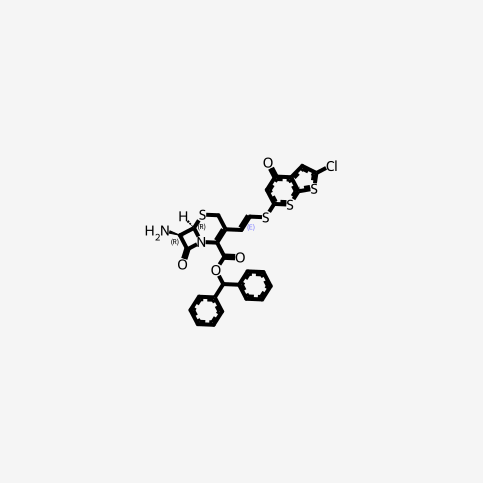 N[C@@H]1C(=O)N2C(C(=O)OC(c3ccccc3)c3ccccc3)=C(/C=C/Sc3cc(=O)c4cc(Cl)sc4s3)CS[C@H]12